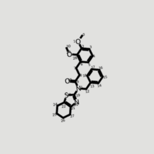 COc1cccc(CCC(=O)N(Cc2ccccc2)c2nc3c(s2)CCCC3)c1OC